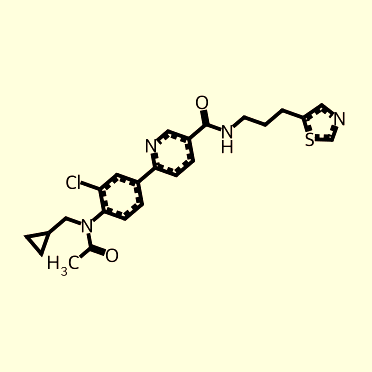 CC(=O)N(CC1CC1)c1ccc(-c2ccc(C(=O)NCCCc3cncs3)cn2)cc1Cl